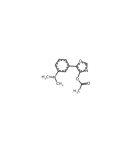 CC(=O)Oc1ncoc1-c1cccc(N(C)C)c1